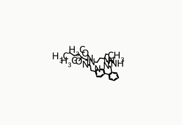 CCCCCn1nc(C(CCCC)(OC)OC)nc1Cc1ccc(-c2ccccc2-c2nnn[nH]2)cn1